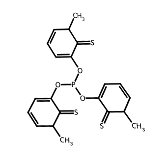 CC1C=CC=C(OP(OC2=CC=CC(C)C2=S)OC2=CC=CC(C)C2=S)C1=S